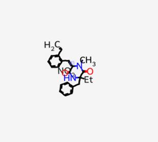 C=Cc1cccc([N+](=O)[O-])c1/C=C1\C(=O)NC(CC)(Cc2ccccc2)C(=O)N1C